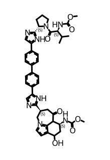 COC(=O)N[C@H]1CC(O)c2ccn3c2C1C(=O)C[C@H](c1ncc(-c2ccc(-c4ccc(-c5cnc([C@@H]6CCCN6C(=O)[C@@H](NC(=O)OC)C(C)C)[nH]5)cc4)cc2)[nH]1)C3